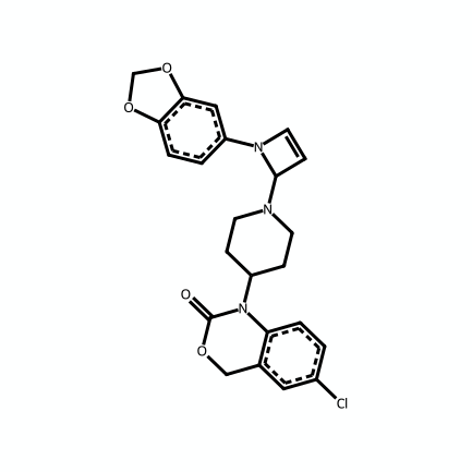 O=C1OCc2cc(Cl)ccc2N1C1CCN(C2C=CN2c2ccc3c(c2)OCO3)CC1